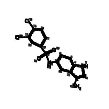 Nc1n[nH]c2ccc(NS(=O)(=O)c3ccc(Cl)c(Cl)c3)cc12